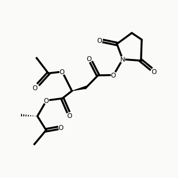 CC(=O)O[C@@H](CC(=O)ON1C(=O)CCC1=O)C(=O)O[C@@H](C)C(C)=O